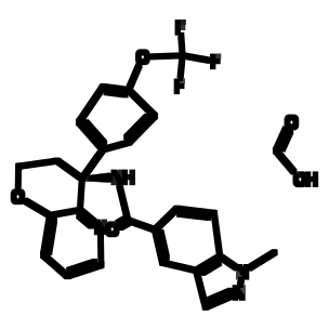 Cn1ncc2cc(C(=O)N[C@]3(c4ccc(OC(F)(F)F)cc4)CCOc4cccnc43)ccc21.O=CO